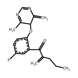 C=C(CCC)C(=O)c1cc(F)ccc1OC1C(=C)N=CN=C1C